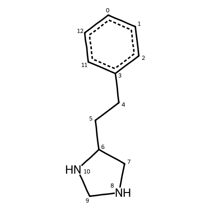 c1ccc(CCC2CNCN2)cc1